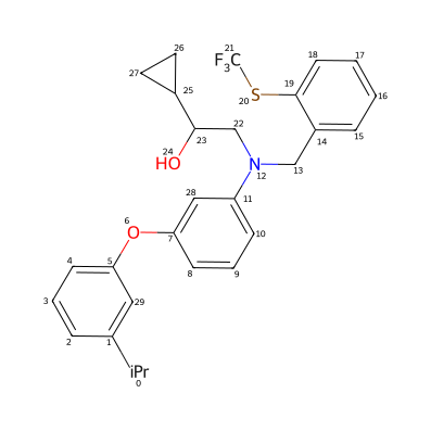 CC(C)c1cccc(Oc2cccc(N(Cc3ccccc3SC(F)(F)F)CC(O)C3CC3)c2)c1